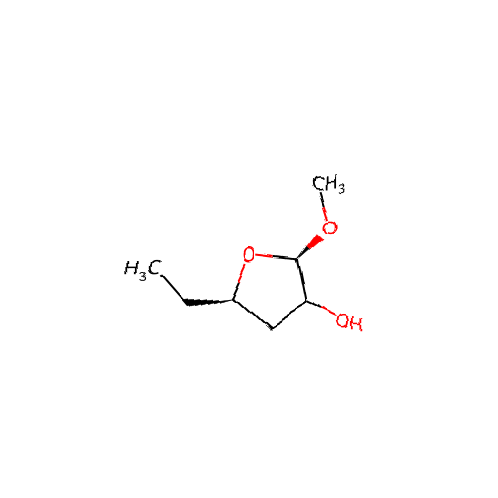 CC[C@@H]1CC(O)[C@H](OC)O1